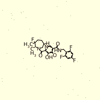 C[C@@H]1N2C[C@H](CCC1(C)F)n1cc(C(=O)NCc3c(F)cc(F)cc3F)c(=O)c(O)c1C2=O